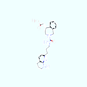 O=C(O)C[C@H]1CCN(C(=O)NCCCc2ccc3c(n2)NCCC3)Cc2ccccc21